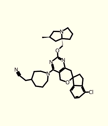 C[C@H]1CN2CCC[C@@]2(COc2nc3c(c(N4CCCC(CC#N)CC4)n2)COC2(CCc4c(Cl)cccc42)C3)C1